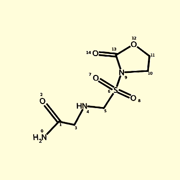 NC(=O)CNCS(=O)(=O)N1CCOC1=O